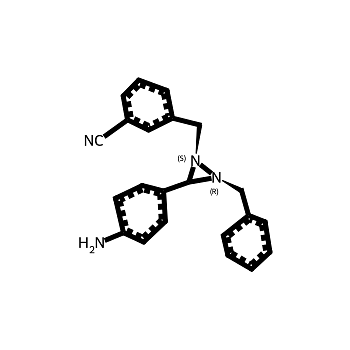 N#Cc1cccc(C[N@]2C(c3ccc(N)cc3)[N@]2Cc2ccccc2)c1